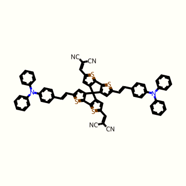 N#CC(C#N)=Cc1cc2c(s1)-c1sc(/C=C/c3ccc(N(c4ccccc4)c4ccccc4)cc3)cc1C21c2cc(C=C(C#N)C#N)sc2-c2sc(/C=C/c3ccc(N(c4ccccc4)c4ccccc4)cc3)cc21